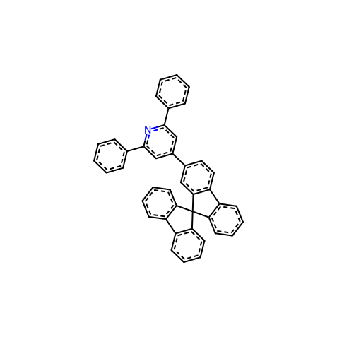 c1ccc(-c2cc(-c3ccc4c(c3)C3(c5ccccc5-c5ccccc53)c3ccccc3-4)cc(-c3ccccc3)n2)cc1